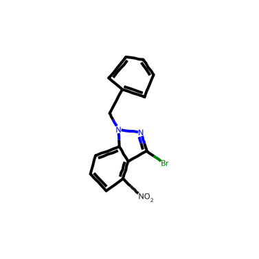 O=[N+]([O-])c1cccc2c1c(Br)nn2Cc1ccccc1